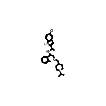 CC(C)N1CCC(COCC(NC(=O)c2cc3cc(Cl)ccc3[nH]2)c2ccccc2Cl)CC1